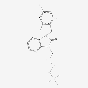 C[Si](C)(C)CCOCN1C(=O)[C@@]2(Cc3cc(Br)cnc3C2)c2cccnc21